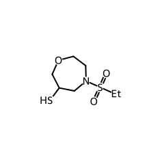 CCS(=O)(=O)N1CCOCC(S)C1